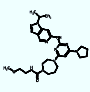 COCCNC(=O)N1CCCN(c2cc(N3CCCC3)nc(Nc3cc4c(cn3)cnn4C(C)C)n2)CC1